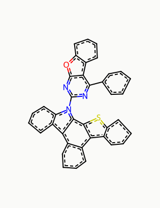 c1ccc(-c2nc(-n3c4ccccc4c4c5ccccc5c5c6ccccc6sc5c43)nc3oc4ccccc4c23)cc1